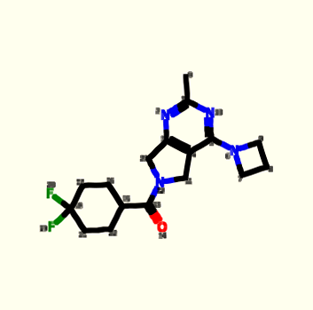 Cc1nc2c(c(N3CCC3)n1)CN(C(=O)C1CCC(F)(F)CC1)C2